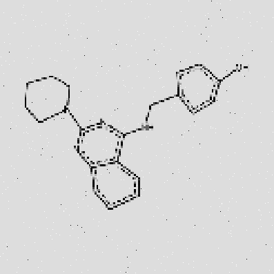 Oc1ccc(CNc2nc(N3CCCCC3)nc3ccccc23)cc1